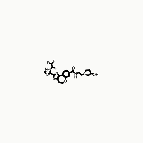 O=C(NCCN1CCC(O)C1)c1ccc2c(c1)OCCc1sc(-c3ncnn3C(F)C(F)F)nc1-2